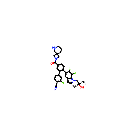 CC(C)(O)Cn1ccc2cc(-c3ccc(C(=O)N4CC5(CCCNC5)C4)cc3-c3ccc(C#N)c(F)c3)c(F)c(F)c21